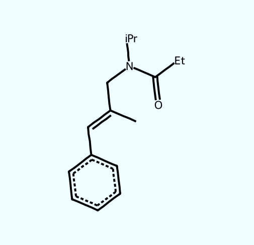 CCC(=O)N(C/C(C)=C/c1ccccc1)C(C)C